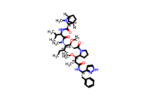 CC[C@H](C)[C@@H]([C@@H](CC(=O)N1CCCC1[C@H](OC)[C@@H](C)C(=O)N[C@@H](Cc1ccccc1)c1cc[nH]n1)OC)N(C)C(=O)C(NC(=O)[C@@H]1[C@H]2CC[C@H](C2)N1C)C(C)C